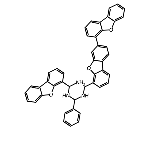 NC(NC(NCc1cccc2c1oc1cc(-c3cccc4c3oc3ccccc34)ccc12)c1ccccc1)c1cccc2c1oc1ccccc12